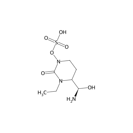 CCN1C(=O)N(OS(=O)(=O)O)CCC1[C@H](N)O